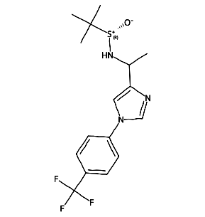 CC(N[S@@+]([O-])C(C)(C)C)c1cn(-c2ccc(C(F)(F)F)cc2)cn1